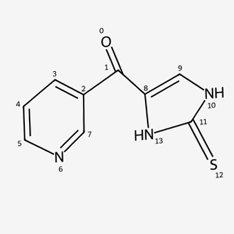 O=C(c1cccnc1)c1c[nH]c(=S)[nH]1